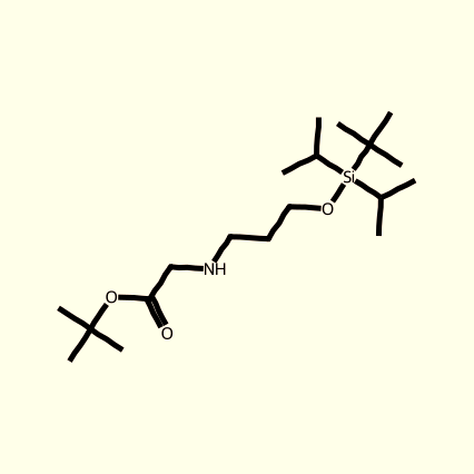 CC(C)[Si](OCCCNCC(=O)OC(C)(C)C)(C(C)C)C(C)(C)C